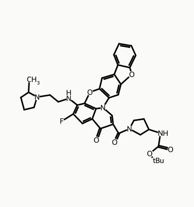 CC1CCCN1CCNc1c(F)cc2c(=O)c(C(=O)N3CCC(NC(=O)OC(C)(C)C)C3)cn3c2c1Oc1cc2c(cc1-3)oc1ccccc12